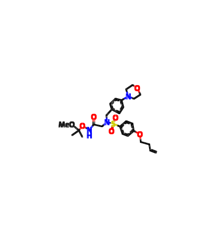 C=CCCOc1ccc(S(=O)(=O)N(CC(=O)NOC(C)(C)OC)Cc2ccc(N3CCOCC3)cc2)cc1